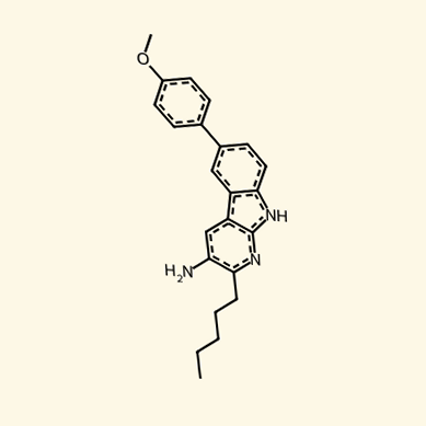 CCCCCc1nc2[nH]c3ccc(-c4ccc(OC)cc4)cc3c2cc1N